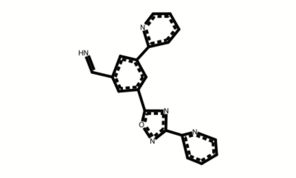 N=Cc1cc(-c2ccccn2)cc(-c2nc(-c3ccccn3)no2)c1